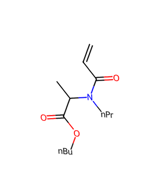 C=CC(=O)N(CCC)C(C)C(=O)OCCCC